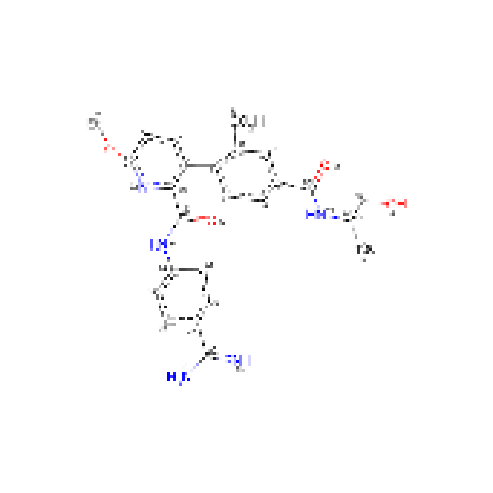 CCOc1ccc(-c2ccc(C(=O)N[C@H](CO)C(C)(C)C)cc2C(=O)O)c(C(=O)Nc2ccc(C(=N)N)cc2)n1